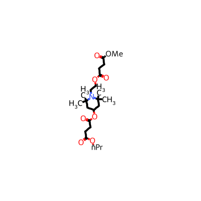 CCCOC(=O)CCC(=O)OC1CC(C)(C)N(CCOC(=O)CCC(=O)OC)C(C)(C)C1